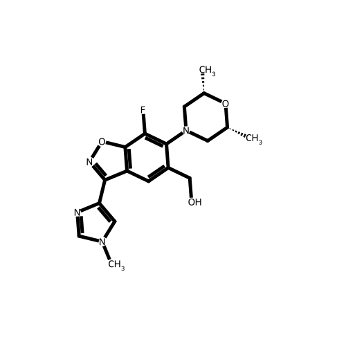 C[C@@H]1CN(c2c(CO)cc3c(-c4cn(C)cn4)noc3c2F)C[C@H](C)O1